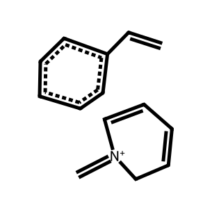 C=Cc1ccccc1.C=[N+]1C=CC=CC1